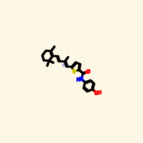 CC1=C(C=C/C(C)=C/c2ccc(C(=O)Nc3ccc(O)cc3)s2)C(C)(C)CCC1